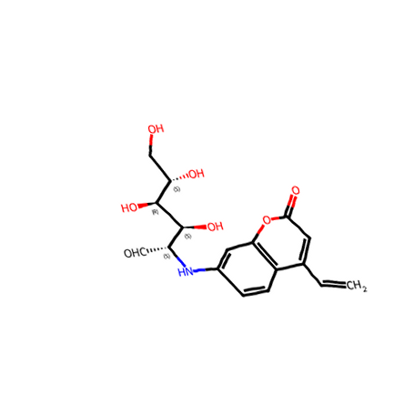 C=Cc1cc(=O)oc2cc(N[C@H](C=O)[C@H](O)[C@@H](O)[C@@H](O)CO)ccc12